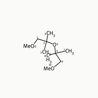 COCC(C)(C)OC(C)(C)COC